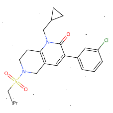 CC(C)CS(=O)(=O)N1CCc2c(cc(-c3cccc(Cl)c3)c(=O)n2CC2CC2)C1